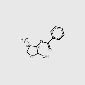 C[C@H]1COC(O)[C@@H]1OC(=O)c1ccccc1